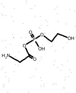 NCC(=O)OP(=O)(O)OCCO